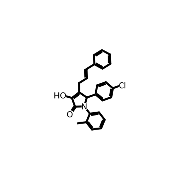 Cc1ccccc1N1C(=O)C(O)=C(CC=Cc2ccccc2)C1c1ccc(Cl)cc1